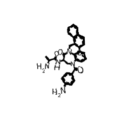 COc1ccc2ccccc2c1CN1C(=O)C(NC(=O)C(C)N)CN(C(=O)c2ccc(N)cc2)c2ccccc21